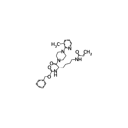 C=CC(=O)NCCCC[C@H](NC(=O)OCc1ccccc1)C(=O)N1CCN(c2ncccc2C)CC1